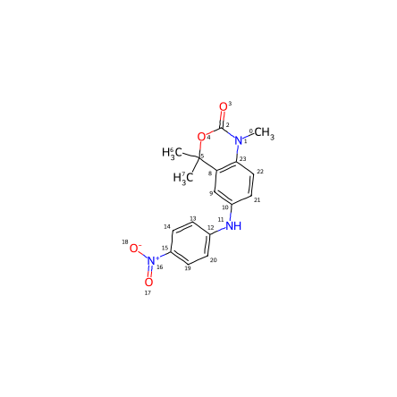 CN1C(=O)OC(C)(C)c2cc(Nc3ccc([N+](=O)[O-])cc3)ccc21